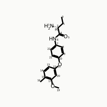 CC[C@@H](N)C(=O)Nc1ccc(Oc2ccc(C)c(OC)c2)cc1